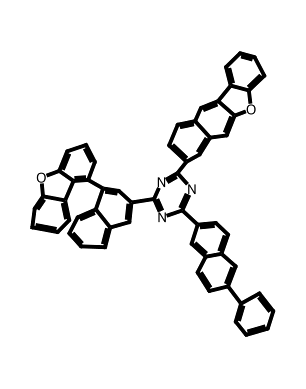 c1ccc(-c2ccc3cc(-c4nc(-c5ccc6cc7c(cc6c5)oc5ccccc57)nc(-c5cc(-c6cccc7oc8ccccc8c67)c6ccccc6c5)n4)ccc3c2)cc1